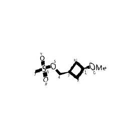 CO[C@H]1C[C@@H](COS(C)(=O)=O)C1